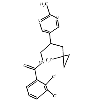 Cc1ncc(C(CNC(=O)c2cccc(Cl)c2Cl)CC2(C(F)(F)F)CC2)cn1